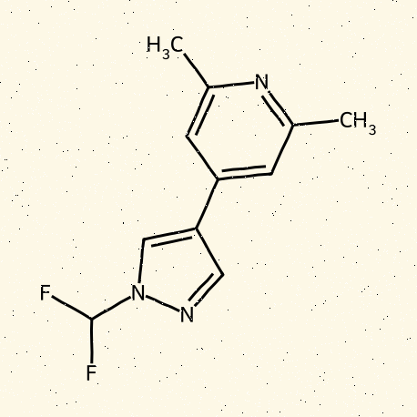 Cc1cc(-c2cnn(C(F)F)c2)cc(C)n1